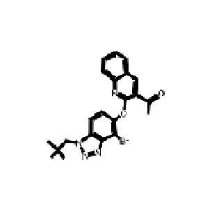 CC(=O)c1cc2ccccc2nc1Oc1ccc2c(nnn2CC(C)(C)C)c1Br